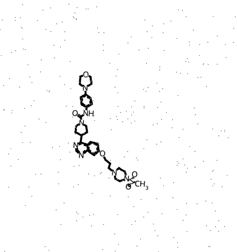 CS(=O)(=O)N1CCN(CCCOc2ccc3c(C4CCN(C(=O)Nc5ccc(N6CCOCC6)cc5)CC4)ncnc3c2)CC1